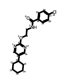 O=C(NCCOc1ncc(C2CCCCC2)cn1)c1ccc(Cl)cc1